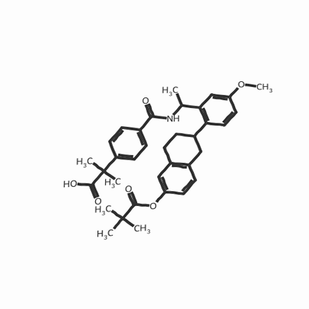 COc1ccc(C2CCc3cc(OC(=O)C(C)(C)C)ccc3C2)c(C(C)NC(=O)c2ccc(C(C)(C)C(=O)O)cc2)c1